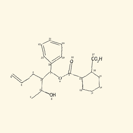 C=CCC(C(C)O)C(OC(=O)C1CCCCC1C(=O)O)c1ccccc1